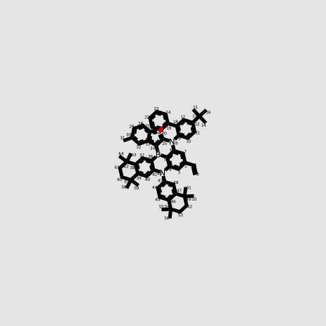 C=Cc1cc2c3c(c1)N(c1ccc(C(C)(C)C)cc1-c1ccccc1)c1sc4ccc(C)cc4c1B3c1cc3c(cc1N2c1ccc2c(c1)C(C)(C)CCC2(C)C)C(C)(C)CCC3(C)C